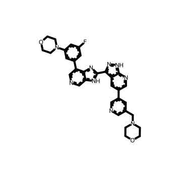 Fc1cc(-c2cncc3[nH]c(-c4n[nH]c5ncc(-c6cncc(CN7CCOCC7)c6)cc45)nc23)cc(N2CCOCC2)c1